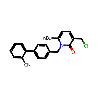 CCCCc1ccc(CCl)c(=O)n1Cc1ccc(-c2ccccc2C#N)cc1